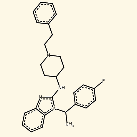 CC(c1ccc(F)cc1)n1c(NC2CCN(CCc3ccccc3)CC2)nc2ccccc21